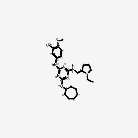 CCN1CCCC1CNc1nc(Nc2ccc(OC)c(Cl)c2)nc(OC2CCCCCC2)n1